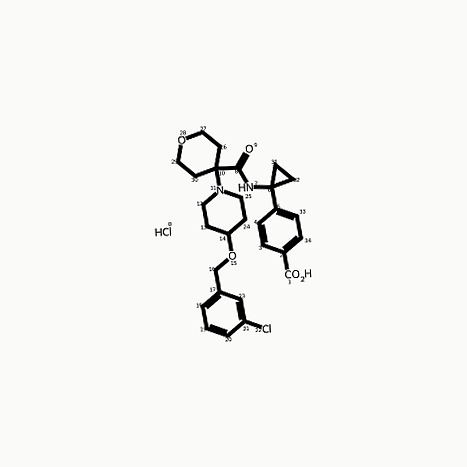 Cl.O=C(O)c1ccc(C2(NC(=O)C3(N4CCC(OCc5cccc(Cl)c5)CC4)CCOCC3)CC2)cc1